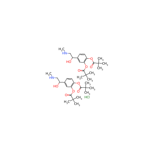 CNCC(O)c1ccc(OC(=O)C(C)(C)C)c(OC(=O)C(C)(C)C)c1.CNCC(O)c1ccc(OC(=O)C(C)(C)C)c(OC(=O)C(C)(C)C)c1.Cl